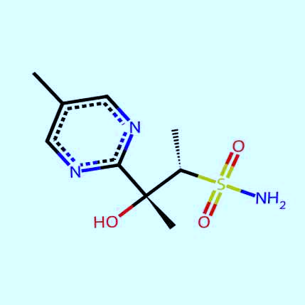 Cc1cnc([C@@](C)(O)[C@H](C)S(N)(=O)=O)nc1